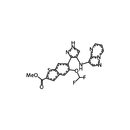 COC(=O)c1cc2cc(OC(F)F)c(-c3n[nH]cc3Nc3cnn4cccnc34)cc2s1